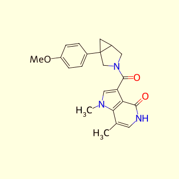 COc1ccc(C23CC2CN(C(=O)c2cn(C)c4c(C)c[nH]c(=O)c24)C3)cc1